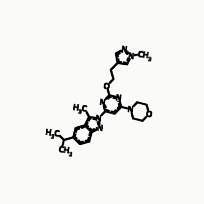 Cc1c2cc(C(C)C)ccc2nn1-c1cc(N2CCOCC2)nc(OCCc2cnn(C)c2)n1